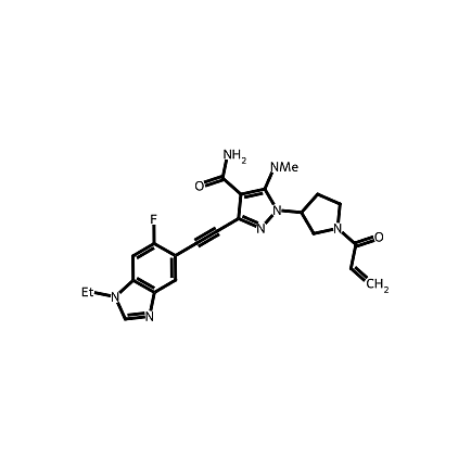 C=CC(=O)N1CCC(n2nc(C#Cc3cc4ncn(CC)c4cc3F)c(C(N)=O)c2NC)C1